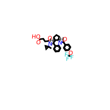 CC1(N(C(=O)CCC(=O)O)[C@H]2c3ccccc3N(C(=O)c3ccc(OC(F)(F)F)cc3)[C@@H]3CCC[C@@H]32)CC1